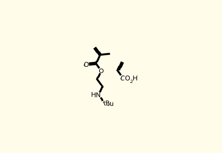 C=C(C)C(=O)OCCNC(C)(C)C.C=CC(=O)O